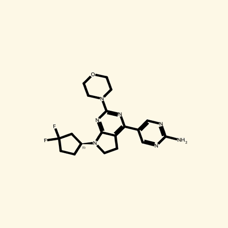 Nc1ncc(-c2nc(N3CCOCC3)nc3c2CCN3[C@H]2CCC(F)(F)C2)cn1